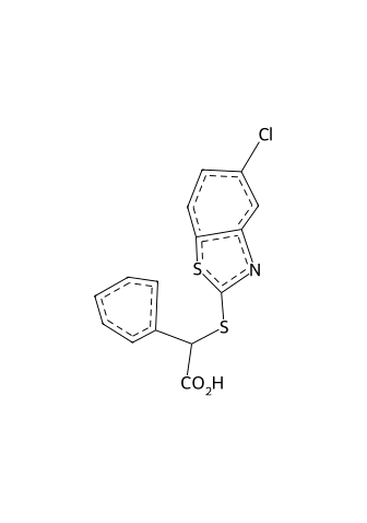 O=C(O)C(Sc1nc2cc(Cl)ccc2s1)c1ccccc1